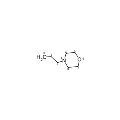 [CH2]CCN1CCOCC1